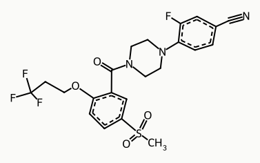 CS(=O)(=O)c1ccc(OCCC(F)(F)F)c(C(=O)N2CCN(c3ccc(C#N)cc3F)CC2)c1